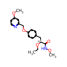 CCO[C@@H](Cc1ccc(OCc2cc(OC)ccn2)cc1)C(=O)NOC